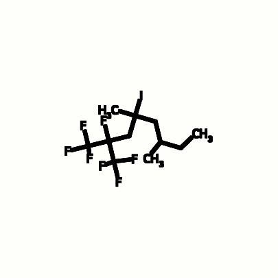 CCC(C)CC(C)(I)CC(F)(C(F)(F)F)C(F)(F)F